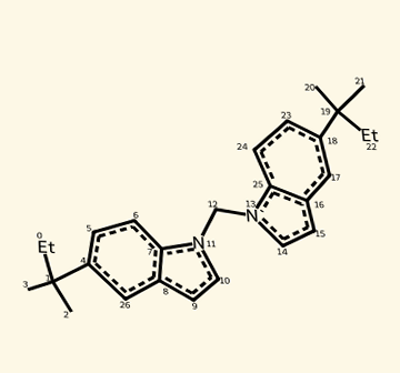 CCC(C)(C)c1ccc2c(ccn2Cn2ccc3cc(C(C)(C)CC)ccc32)c1